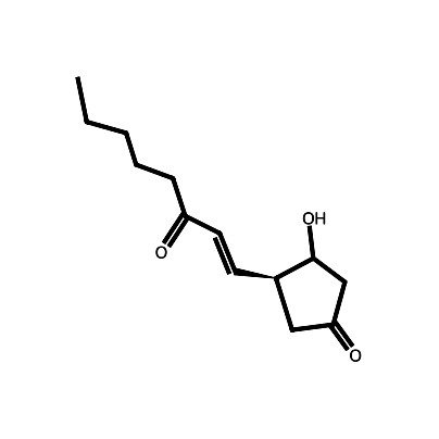 CCCCCC(=O)/C=C/[C@@H]1CC(=O)CC1O